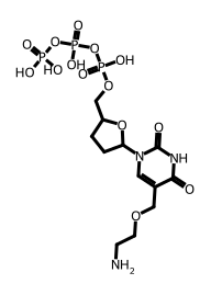 NCCOCc1cn(C2CCC(COP(=O)(O)OP(=O)(O)OP(=O)(O)O)O2)c(=O)[nH]c1=O